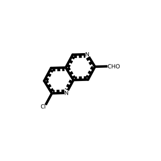 O=Cc1cc2nc(Cl)ccc2cn1